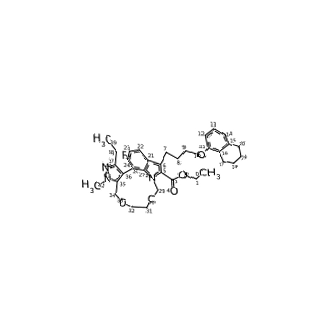 CCOC(=O)c1c(CCCOc2cccc3c2CCCC3)c2ccc(F)c3c2n1CCCCOCc1c-3c(CC)nn1C